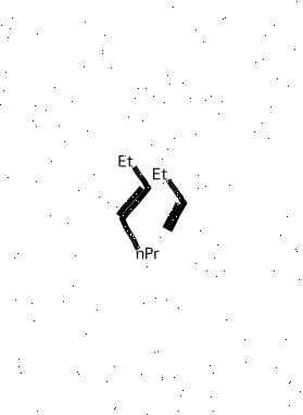 C=CCC.CCC=CCCC